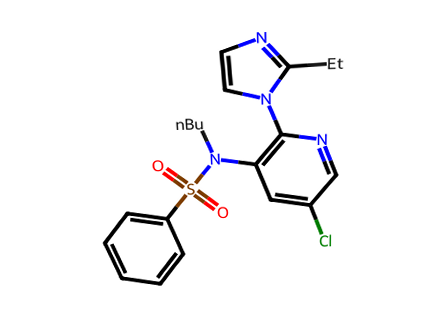 CCCCN(c1cc(Cl)cnc1-n1ccnc1CC)S(=O)(=O)c1ccccc1